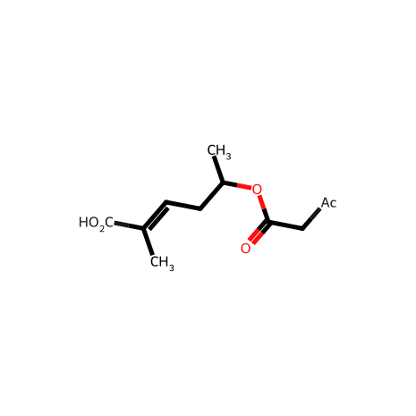 CC(=O)CC(=O)OC(C)CC=C(C)C(=O)O